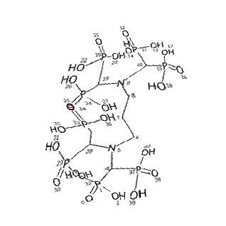 O=P(O)(O)C(N(CCCN(C(P(=O)(O)O)P(=O)(O)O)C(P(=O)(O)O)P(=O)(O)O)C(P(=O)(O)O)P(=O)(O)O)P(=O)(O)O